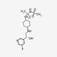 CC(C)(C[C@H]1CC[C@@H](NC[C@H](O)c2cncc(F)c2)CC1)NS(C)(=O)=O